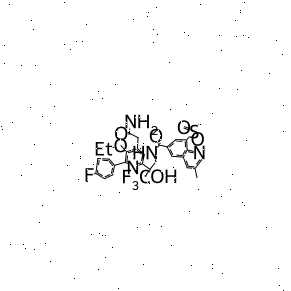 CCOc1c(CC(N)=O)cc([C@@](O)(CNC(=O)c2cc(S(C)(=O)=O)c3ncc(C)cc3c2)C(F)(F)F)nc1-c1ccc(F)cc1